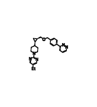 CCc1cnc(N2CCC([C@H]3C[C@H]3COCc3ccc(-c4cccnn4)cc3)CC2)nc1